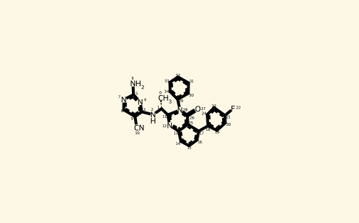 C[C@@H](Nc1nc(N)ncc1C#N)c1nc2cccc(-c3ccc(F)cc3)c2c(=O)n1-c1ccccc1